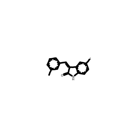 Cc1cccc(C=C2C(=O)Nc3ccc(I)cc32)c1